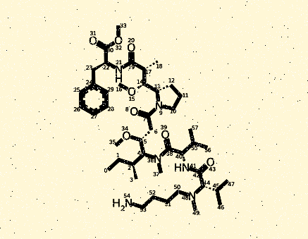 CC[C@H](C)C([C@@H](CC(=O)N1CCC[C@H]1[C@H](OC)[C@@H](C)C(=O)N[C@@H](Cc1ccccc1)C(=O)OC)OC)N(C)C(=O)[C@@H](NC(=O)[C@H](C(C)C)N(C)CCCCN)C(C)C